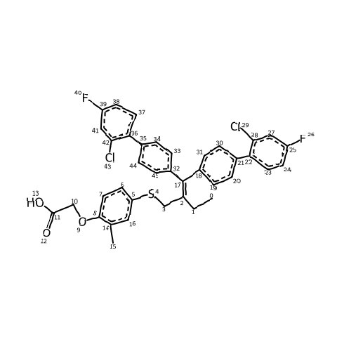 CCC(CSc1ccc(OCC(=O)O)c(C)c1)=C(c1ccc(-c2ccc(F)cc2Cl)cc1)c1ccc(-c2ccc(F)cc2Cl)cc1